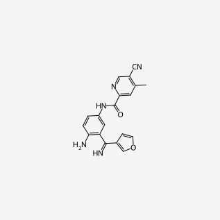 Cc1cc(C(=O)Nc2ccc(N)c(C(=N)c3ccoc3)c2)ncc1C#N